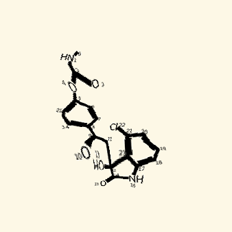 CNC(=O)Oc1ccc(C(=O)CC2(O)C(=O)Nc3cccc(Cl)c32)cc1